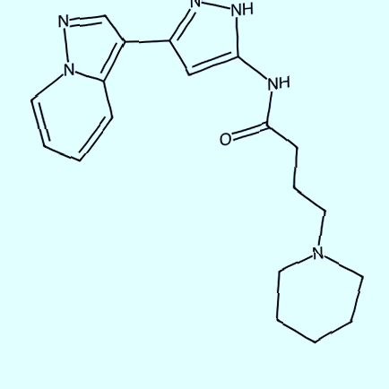 O=C(CCCN1CCCCC1)Nc1cc(-c2cnn3ccccc23)n[nH]1